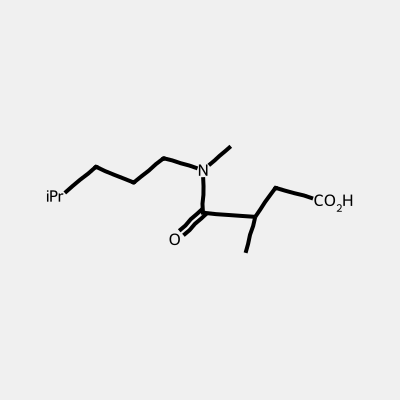 CC(C)CCCN(C)C(=O)C(C)CC(=O)O